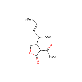 CCCCCC=CC(SC)C1COC(=O)C1C(=O)OC